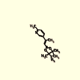 C/C(=C\B1OC(C)(C)C(C)(C)O1)c1ccc(C)nc1